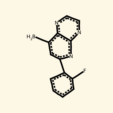 Bc1cc(-c2ccccc2F)nc2nccnc12